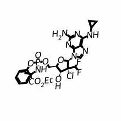 CCOC(=O)[C@H](C)N[P@@](=O)(OC[C@H]1O[C@@H](n2cnc3c(NC4CC4)nc(N)nc32)[C@@](Cl)(C(F)F)[C@@H]1O)Oc1ccccc1